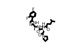 CC(C)CCC(=O)N[C@@H](CC(=O)N1CCCC1)C(=O)N[C@@H](C)c1ncc(-c2ccc(F)cc2F)[nH]1